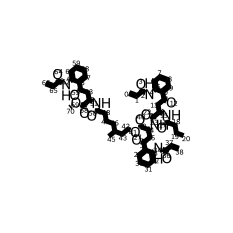 C=CC(=O)Nc1ccccc1C(=O)CC(NC(=O)CCC)C(=O)NC(CC(=O)c1ccccc1NC(=O)C=C)C(=O)OCCC(C)CCCC(=O)NC(CC(=O)c1ccccc1NC(=O)C=C)C(=O)OC